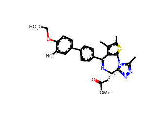 COC(=O)C[C@@H]1N=C(c2ccc(-c3ccc(OCC(=O)O)c(C#N)c3)cc2)c2c(sc(C)c2C)-n2c(C)nnc21